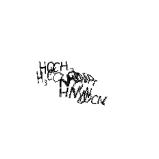 CC(C)Nc1cc(-c2ccc3cc(C#N)cnn23)ncc1C(=O)N[C@H]1CC[C@H](C(C)(C)O)CC1